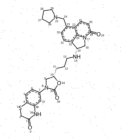 O=C1CSc2ccc(N3C[C@H](CCCN[C@H]4Cn5c(=O)ccc6c(CN7CCCC7)ccc4c65)OC3=O)cc2N1